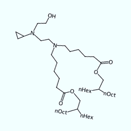 CCCCCCCCC(CCCCCC)COC(=O)CCCCCN(CCCCCC(=O)OCC(CCCCCC)CCCCCCCC)CCN(CCO)C1CC1